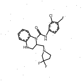 O=C(Nc1ccc(F)c(Cl)c1)N1c2ccccc2NCC1CN1CCC(F)(F)C1